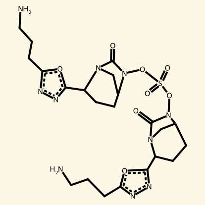 NCCCc1nnc(C2CCC3CN2C(=O)N3OS(=O)(=O)ON2C(=O)N3CC2CCC3c2nnc(CCCN)o2)o1